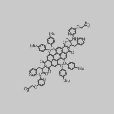 CC(C)(C)c1ccc(Oc2cc3c4c(cc(Oc5ccc(C(C)(C)C)cc5)c5c6c(Oc7ccc(C(C)(C)C)cc7)cc7c8c(cc(Oc9ccc(C(C)(C)C)cc9)c(c2c45)c86)C(=O)N(C(Cc2ccncc2)C(=O)Nc2cc(OCC4CO4)ccn2)C7=O)C(=O)N(C(Cc2ccncc2)C(=O)Nc2cc(OCC4CO4)ccn2)C3=O)cc1